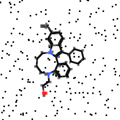 O=C(O)c1ccc2c(C3CCCCC3)c3n(c2c1)CCCCN(CCO)c1ccccc1-3